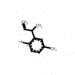 C=C[C](C)c1cc(C)ccc1F